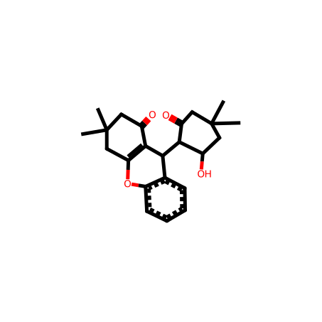 CC1(C)CC(=O)C2=C(C1)Oc1ccccc1C2C1C(=O)CC(C)(C)CC1O